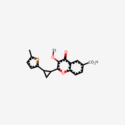 CCOc1c(C2CC2c2ccc(C)s2)oc2ccc(C(=O)O)cc2c1=O